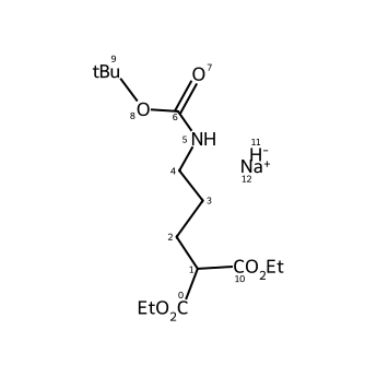 CCOC(=O)C(CCCNC(=O)OC(C)(C)C)C(=O)OCC.[H-].[Na+]